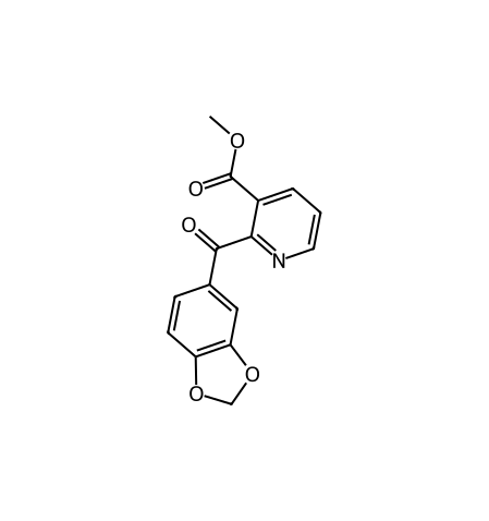 COC(=O)c1cccnc1C(=O)c1ccc2c(c1)OCO2